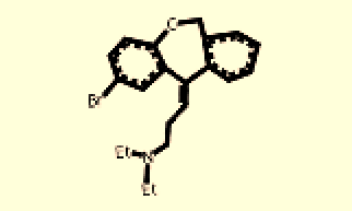 CCN(CC)CCC=C1c2ccccc2COc2ccc(Br)cc21